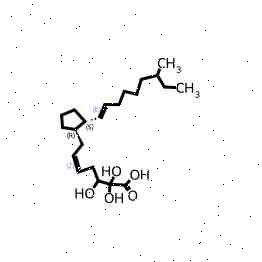 CCC(C)CCCC/C=C/[C@H]1CCC[C@@H]1C/C=C\CC(O)C(O)(O)C(=O)O